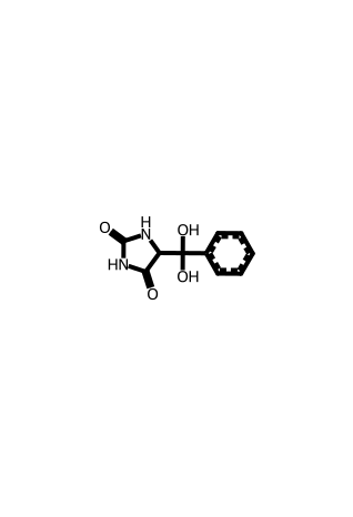 O=C1NC(=O)C(C(O)(O)c2ccccc2)N1